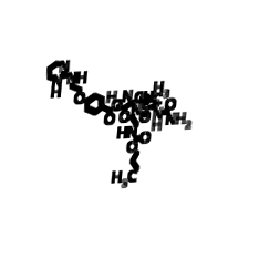 CCCCOC(=O)NCCN([C@](C)(N)C(=O)OC(=O)c1ccc(OCCNC2=NCCCN2)cc1)S(=O)(=O)C(C)NC(N)=O